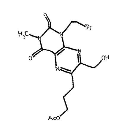 CC(=O)OCCCc1nc2c(=O)n(C)c(=O)n(CC(C)C)c2nc1CO